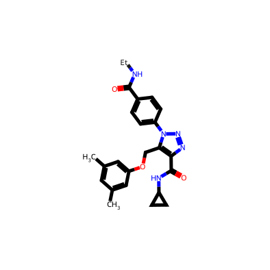 CCNC(=O)c1ccc(-n2nnc(C(=O)NC3CC3)c2COc2cc(C)cc(C)c2)cc1